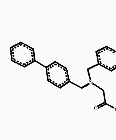 O=C(O)CN(Cc1ccccc1)Cc1ccc(-c2ccccc2)cc1